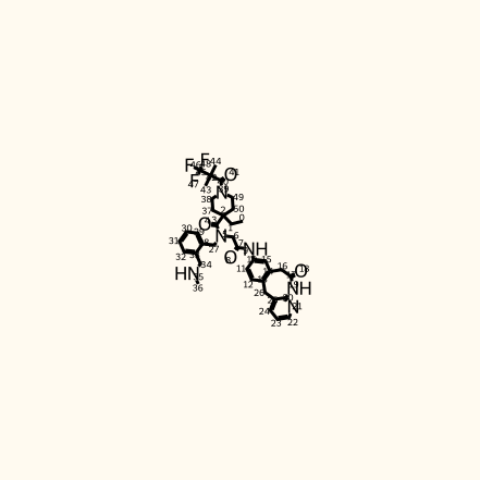 CCC1(C(=O)N(CC(=O)Nc2ccc3c(c2)CC(=O)Nc2ncccc2C3)Cc2ccccc2CNC)CCN(C(=O)C(C)(C)C(F)(F)F)CC1